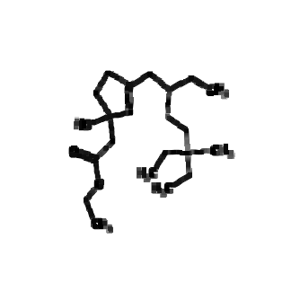 CCOC(=O)CC1(O)C=C(CC(CC)CCC(C)(CC)CC)CC1